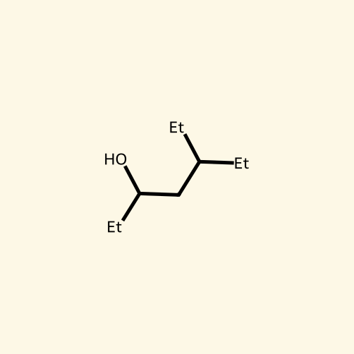 CCC(O)CC(CC)CC